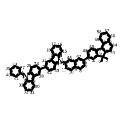 CC1(C)c2cc(-c3ccc4ccc(-n5c6ccccc6c6cc(-c7ccc8c(c7)c7ccccc7n8-c7ccccc7)ccc65)cc4c3)ccc2-c2c1ccc1ccccc21